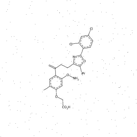 C=C(CCc1nc(-c2ccc(Cl)cc2Cl)oc1C(C)C)c1cc(C)c(OCC(=O)O)cc1ON